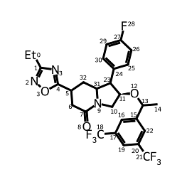 CCc1noc(C2CC(=O)N3C[C@H](OC(C)c4cc(C(F)(F)F)cc(C(F)(F)F)c4)C(c4ccc(F)cc4)C3C2)n1